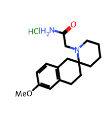 COc1ccc2c(c1)CCC1(CCCCN1CC(N)=O)C2.Cl